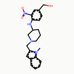 Cn1c(CN2CCCC(Nc3ccc(CO)cc3[N+](=O)[O-])C2)cc2ccccc21